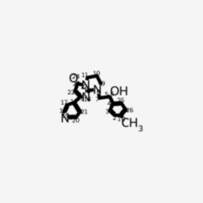 Cc1ccc(C(O)CN2CCCn3c2nc(-c2ccncc2)cc3=O)cc1